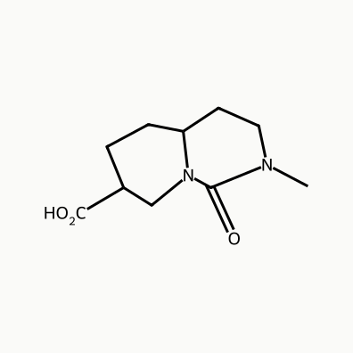 CN1CCC2CCC(C(=O)O)CN2C1=O